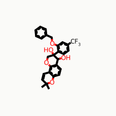 CC1(C)C=Cc2c(ccc3c2OCC(O)(c2ccc(C(F)(F)F)cc2OCc2ccccc2)C3O)O1